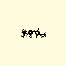 [2H]C([2H])([2H])C([2H])(Oc1ncc(Oc2cc(F)c(C(=O)NS(C)(=O)=O)cc2Cl)cc1Cl)C([2H])([2H])[2H]